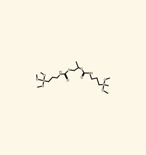 CO[Si](C)(CCCNC(=O)OC(C)COC(=O)NCCC[Si](OC)(OC)OC)OC